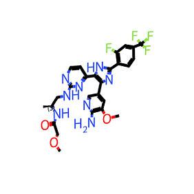 COCC(=O)N[C@@H](C)CNc1nccc(-c2[nH]c(-c3ccc(C(F)(F)F)cc3F)nc2-c2cnc(N)c(OC)c2)n1